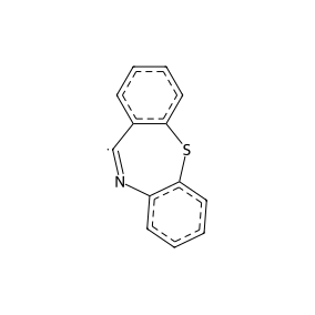 [C]1=Nc2ccccc2Sc2ccccc21